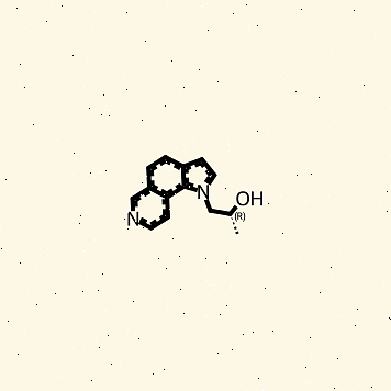 C[C@@H](O)Cn1ccc2ccc3cnccc3c21